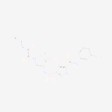 Cc1cc(NC(=O)c2c3c(cn2C)S(=O)(=O)N[C@H]2CN(C(=O)C(=O)NCC(F)(F)F)C[C@H]2CO3)ccc1F